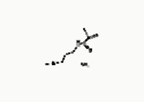 C=C(C)C(=O)NCCC[N+](C)(C)C.[SiH4]